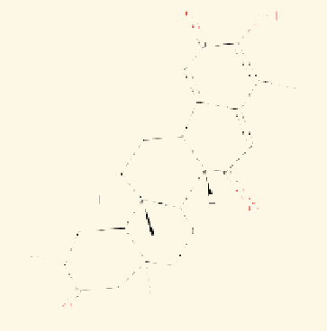 CC1=C(O)C(=O)C=C2C1=CC(=O)[C@H]1[C@@]2(C)CC[C@@]2(C)[C@@H]3C[C@@H](C)C(=O)C[C@]3(C)CC[C@]12C